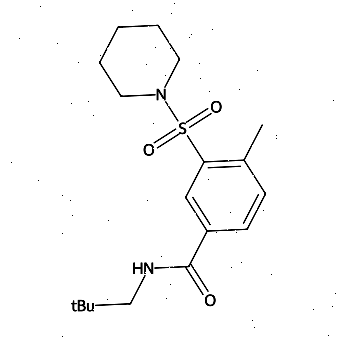 Cc1ccc(C(=O)NCC(C)(C)C)cc1S(=O)(=O)N1CCCCC1